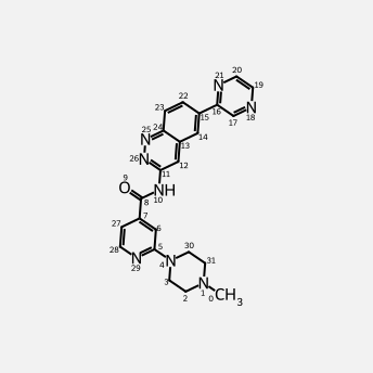 CN1CCN(c2cc(C(=O)Nc3cc4cc(-c5cnccn5)ccc4nn3)ccn2)CC1